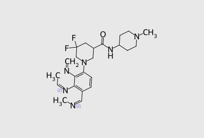 C=Nc1c(N2CC(C(=O)NC3CCN(C)CC3)CC(F)(F)C2)ccc(/C=N\C)c1/N=C\C